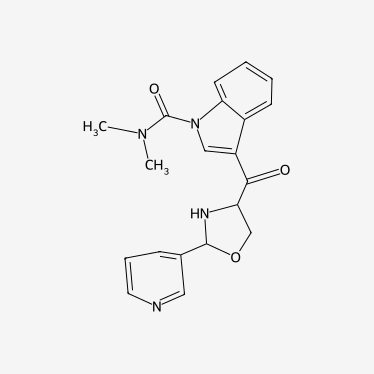 CN(C)C(=O)n1cc(C(=O)C2COC(c3cccnc3)N2)c2ccccc21